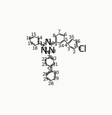 Clc1ccc(-c2cccc(-c3nc(-c4ccccc4)nc(-c4ccc(-c5ccccc5)cc4)n3)c2)cc1